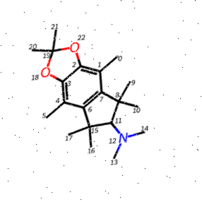 Cc1c2c(c(C)c3c1C(C)(C)C(N(C)C)C3(C)C)OC(C)(C)O2